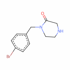 O=C1CNCCN1Cc1ccc(Br)cc1